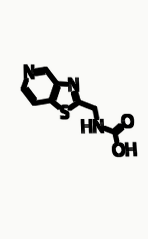 O=C(O)NCc1nc2cnccc2s1